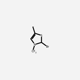 [CH2]C1=CN(C(F)(F)F)C(Br)S1